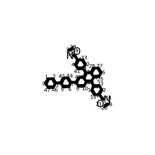 c1ccc(-c2ccc(-c3ccc4c(-c5ccc(-c6ncco6)cc5)c5ccccc5c(-c5ccc(-c6ncco6)cc5)c4c3)cc2)cc1